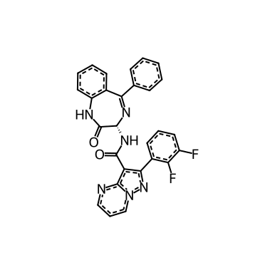 O=C(N[C@H]1N=C(c2ccccc2)c2ccccc2NC1=O)c1c(-c2cccc(F)c2F)nn2cccnc12